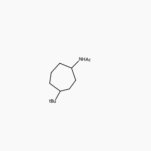 CC(=O)NC1CCCC(C(C)(C)C)CC1